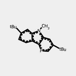 Cn1c2cc(C(C)(C)C)ccc2c2pcc(C(C)(C)C)cc21